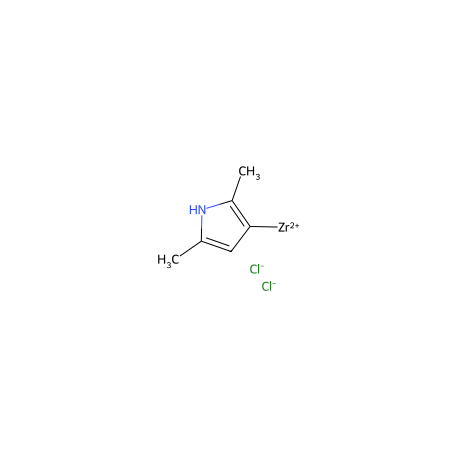 Cc1c[c]([Zr+2])c(C)[nH]1.[Cl-].[Cl-]